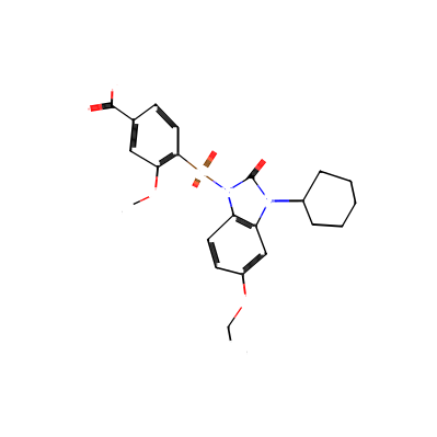 CCOc1ccc2c(c1)n(C1CCCCC1)c(=O)n2S(=O)(=O)c1ccc(C(=O)O)cc1OC